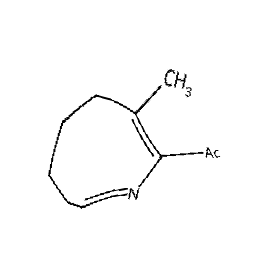 CC(=O)C1=C(C)CCCC=N1